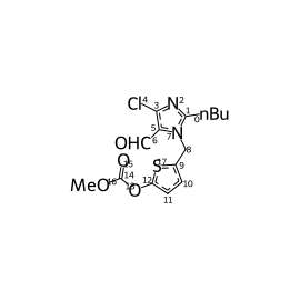 CCCCc1nc(Cl)c(C=O)n1Cc1ccc(OC(=O)OC)s1